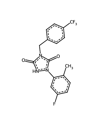 Cc1ccc(F)cc1-n1[nH]c(=O)n(Cc2ccc(C(F)(F)F)cc2)c1=O